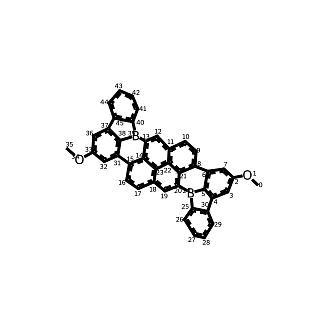 COc1cc2c3c(c1)-c1ccc4cc5c6c(ccc7cc(c1c4c76)B3c1ccccc1-2)-c1cc(OC)cc2c1B5c1ccccc1-2